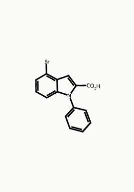 O=C(O)c1cc2c(Br)cccc2n1-c1ccccc1